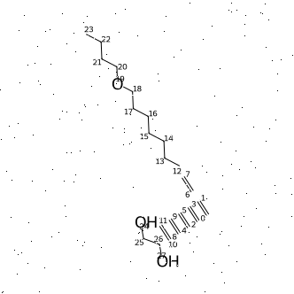 C=C.C=C.C=C.C=C.C=C.C=C.CCCCCCCOCCCC.OCCO